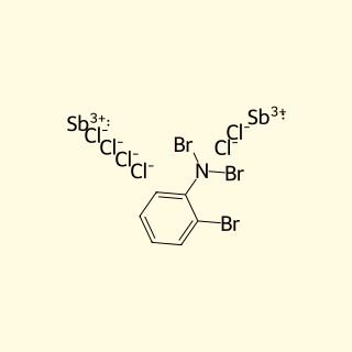 Brc1ccccc1N(Br)Br.[Cl-].[Cl-].[Cl-].[Cl-].[Cl-].[Cl-].[Sb+3].[Sb+3]